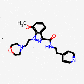 COc1cccc2c(C(=O)NCCc3ccncc3)nn(CCN3CCOCC3)c12